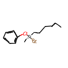 CCCCCC[Si](C)(Br)Oc1ccccc1